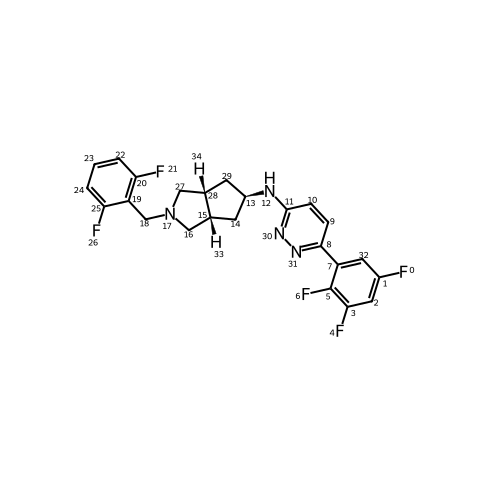 Fc1cc(F)c(F)c(-c2ccc(N[C@H]3C[C@@H]4CN(Cc5c(F)cccc5F)C[C@@H]4C3)nn2)c1